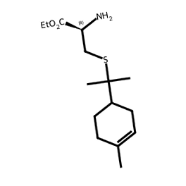 CCOC(=O)[C@@H](N)CSC(C)(C)C1CC=C(C)CC1